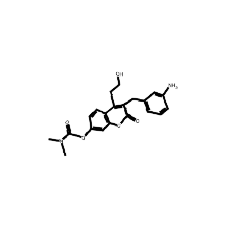 CN(C)C(=O)Oc1ccc2c(CCO)c(Cc3cccc(N)c3)c(=O)oc2c1